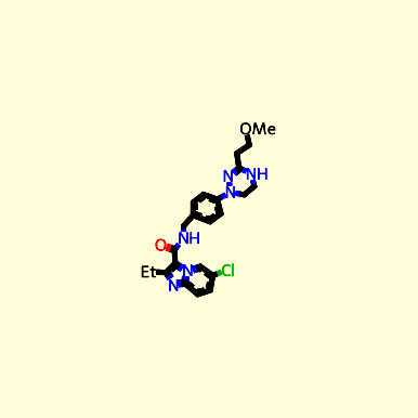 CCc1nc2ccc(Cl)cn2c1C(=O)NCc1ccc(N2CCNC(CCOC)=N2)cc1